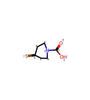 O=C(O)N1CCC(=S)CC1